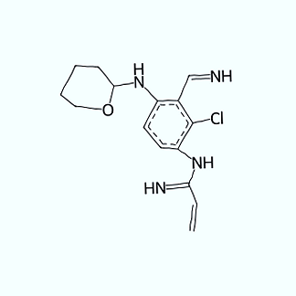 C=CC(=N)Nc1ccc(NC2CCCCO2)c(C=N)c1Cl